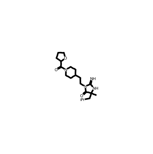 CC(C)CC1(C)NC(=N)N(CCC2CCN(C(=O)C3CCCO3)CC2)C1=O